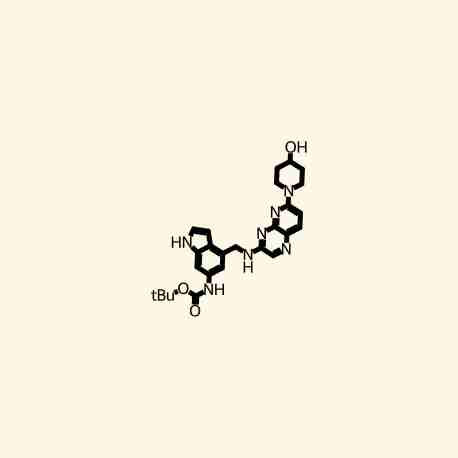 CC(C)(C)OC(=O)Nc1cc(CNc2cnc3ccc(N4CCC(O)CC4)nc3n2)c2cc[nH]c2c1